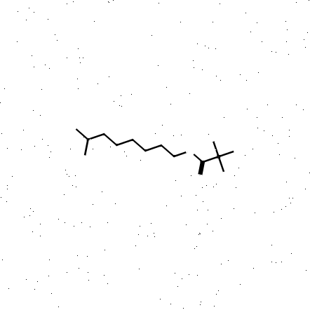 CC(C)CCCCCCOC(=O)C(C)(C)C